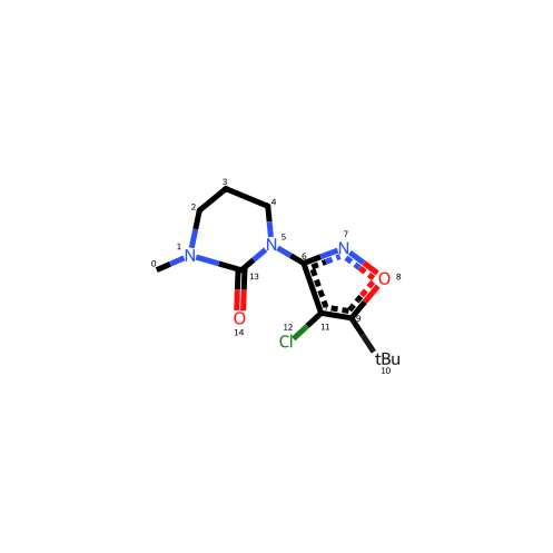 CN1CCCN(c2noc(C(C)(C)C)c2Cl)C1=O